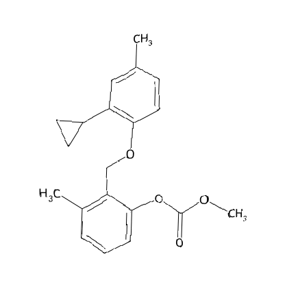 COC(=O)Oc1cccc(C)c1COc1ccc(C)cc1C1CC1